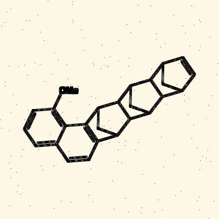 COc1cccc2ccc3c(c12)C1CC3C2C3CC(C4C5C=CC(C5)C34)C12